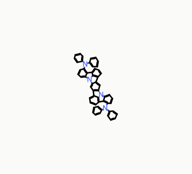 c1ccc(N(c2ccccc2)c2cccc3c2c2cccc4c5cc6c(cc5n3c42)c2cccc3c4c(N(c5ccccc5)c5ccccc5)cccc4n6c23)cc1